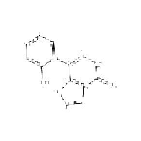 N#Cc1ccccc1-c1n[nH]c(=O)c2ccoc12